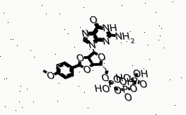 COc1ccc(C2OC3C(O2)[C@@H](COP(=O)(O)OP(=O)(O)OP(=O)(O)O)O[C@H]3n2cnc3c(=O)[nH]c(N)nc32)cc1